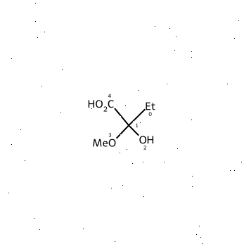 CCC(O)(OC)C(=O)O